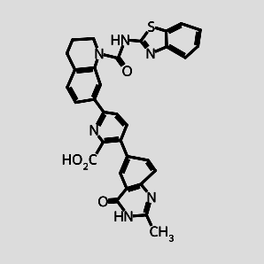 Cc1nc2ccc(-c3ccc(-c4ccc5c(c4)N(C(=O)Nc4nc6ccccc6s4)CCC5)nc3C(=O)O)cc2c(=O)[nH]1